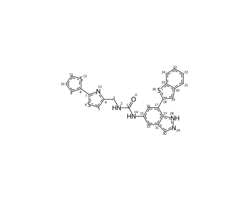 O=C(NCc1csc(-c2cccs2)n1)Nc1cc(-c2cc3ccccc3s2)c2[nH]ncc2c1